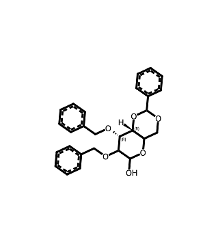 OC1OC2COC(c3ccccc3)O[C@H]2[C@@H](OCc2ccccc2)C1OCc1ccccc1